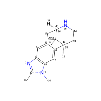 Cc1nc2cc3c(cc2n1C)[C@]1(C)CCN[C@H](C3)C1(C)C